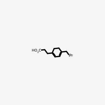 CC(C)CC1=CC=C(CCC(=O)O)CC1